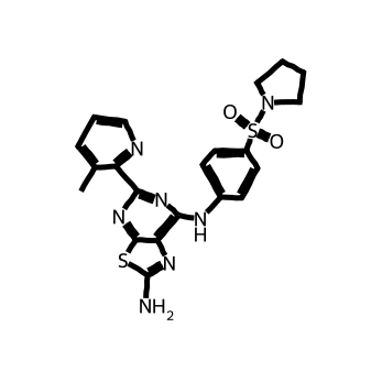 Cc1cccnc1-c1nc(Nc2ccc(S(=O)(=O)N3CCCC3)cc2)c2nc(N)sc2n1